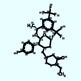 CCN1CCN(C[C@@H]2CCO[C@H](O[C@H](C)c3cc(C(F)(F)F)cc(C(F)(F)F)c3)[C@H]2c2ccc(F)cc2)CC1=O